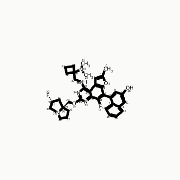 Cc1cc2c(o1)c(-c1cc(O)cc3ccccc13)c(F)c1nc(OC[C@@]34CCCN3C[C@H](F)C4)nc(NCC3(N(C)C)CCC3)c12